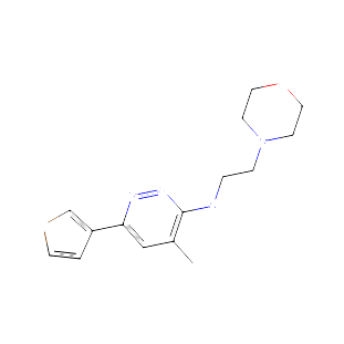 Cc1cc(-c2ccsc2)nnc1NCCN1CCOCC1